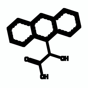 O=C(O)C(O)c1c2ccccc2cc2ccccc12